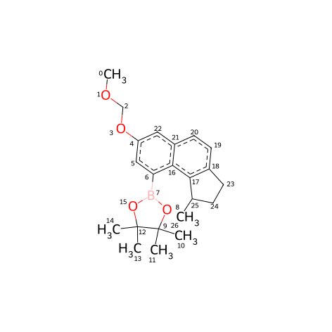 COCOc1cc(B2OC(C)(C)C(C)(C)O2)c2c3c(ccc2c1)CCC3C